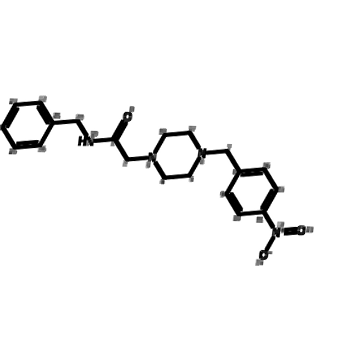 O=C(CN1CCN(Cc2ccc([N+](=O)[O-])cc2)CC1)NCc1ccccc1